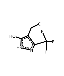 Oc1[nH]nc(C(F)(F)F)c1CCl